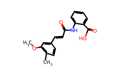 COc1cc(C=CC(=O)Nc2ccccc2C(=O)O)ccc1C